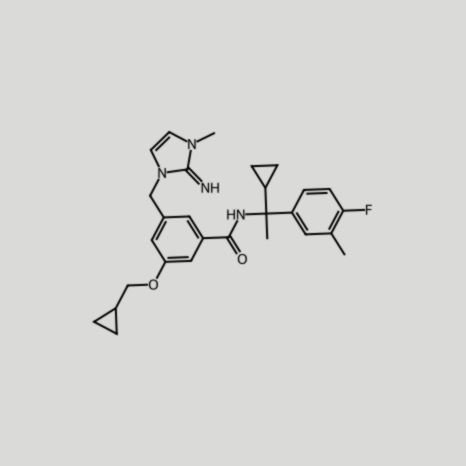 Cc1cc(C(C)(NC(=O)c2cc(Cn3ccn(C)c3=N)cc(OCC3CC3)c2)C2CC2)ccc1F